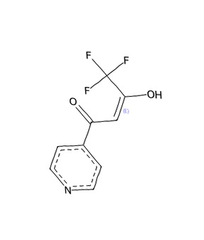 O=C(/C=C(/O)C(F)(F)F)c1ccncc1